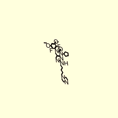 CCOc1cc(OC)c(F)c(N2Cc3cnc(NCCCCCN4CCN(C)CC4)nc3N(C3CCCC3)C2=O)c1F